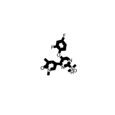 Cc1cc(-c2nc([SH](C)(C)=O)ncc2Oc2ccc(F)cc2F)cn(C)c1=O